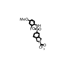 COc1ccc(NS(=O)(=O)c2ccc3c(c2)CN(C(=O)C(F)(F)F)C3)c(F)c1